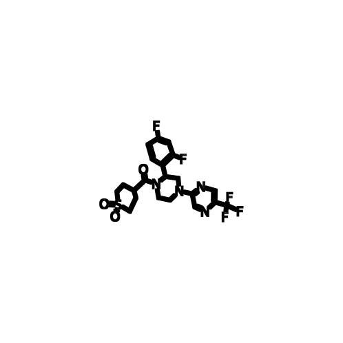 O=C(C1CCS(=O)(=O)CC1)N1CCN(c2cnc(C(F)(F)F)cn2)CC1c1ccc(F)cc1F